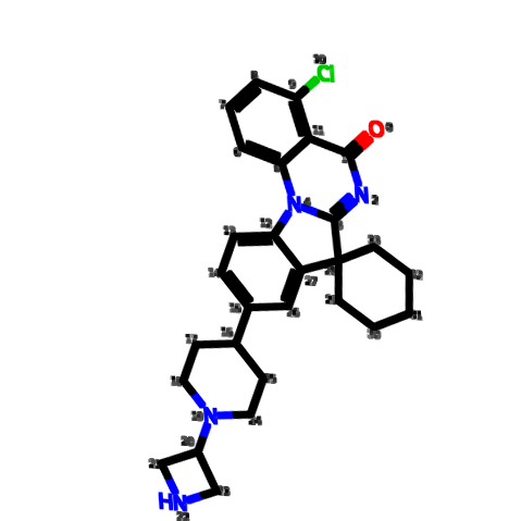 O=c1nc2n(c3cccc(Cl)c13)-c1ccc(C3CCN(C4CNC4)CC3)cc1C21CCCCC1